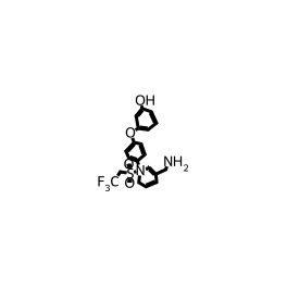 NCC1=C[N+](c2ccc(Oc3cccc(O)c3)cc2)(S(=O)(=O)CC(F)(F)F)CC=C1